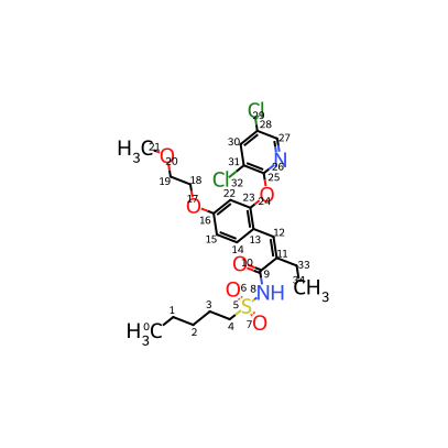 CCCCCS(=O)(=O)NC(=O)C(=Cc1ccc(OCCOC)cc1Oc1ncc(Cl)cc1Cl)CC